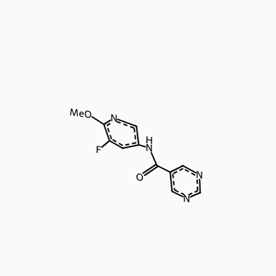 COc1ncc(NC(=O)c2cncnc2)cc1F